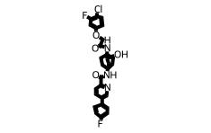 O=C(COc1ccc(Cl)c(F)c1)NC12CCC(NC(=O)c3ccc(-c4ccc(F)cc4)cn3)(CC1)CC2O